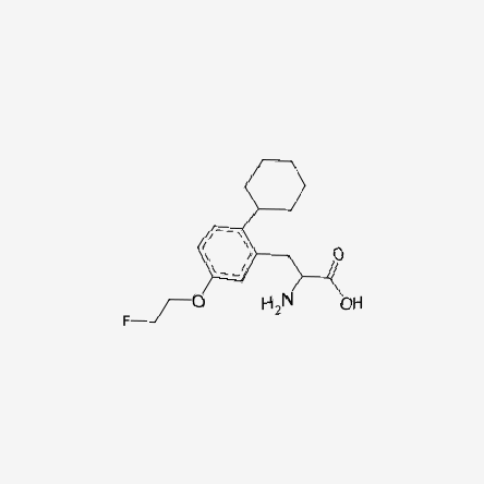 NC(Cc1cc(OCCF)ccc1C1CCCCC1)C(=O)O